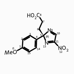 COc1ccc([C@]2(CCC(=O)O)N=CC([N+](=O)[O-])=N2)cc1